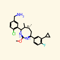 COC1=N/C(c2cc(CN)ccc2Cl)C(C)[C@H](C)C/C(c2ccc(F)c(C3CC3)c2)=N\1